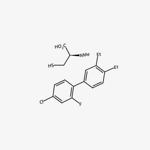 CCc1ccc(-c2ccc(Cl)cc2F)cc1CC.CN[C@@H](CS)C(=O)O